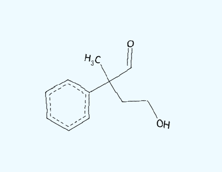 CC(C=O)(CCO)c1ccccc1